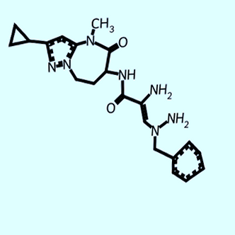 CN1C(=O)C(NC(=O)/C(N)=C/N(N)Cc2ccccc2)CCn2nc(C3CC3)cc21